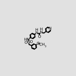 COc1cccc(CS(=O)(=O)Nc2ccc(NC(=O)NCc3ccncc3)cc2)c1